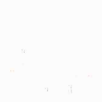 O=C1Cc2cc(C(=O)N3Cc4ccccc4C3)cnc2N1